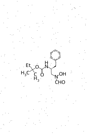 CCC(C)(C)OC(=O)N[C@@H](Cc1ccccc1)CN(O)C=O